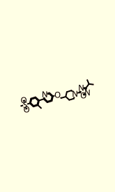 Cc1cc(S(C)(=O)=O)ccc1-c1ccc(OCC2CCN(c3nc(C(C)C)no3)CC2)cn1